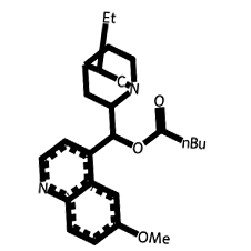 CCCCC(=O)OC(c1ccnc2ccc(OC)cc12)C1CC2CCN1CC2CC